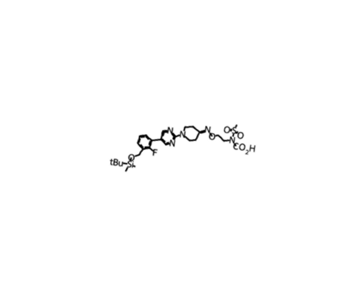 CC(C)(C)[Si](C)(C)OCc1cccc(-c2cnc(N3CCC(=NOCCN(C(=O)O)S(C)(=O)=O)CC3)nc2)c1F